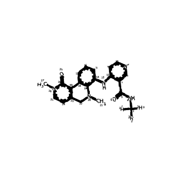 [2H]C([2H])([2H])NC(=O)c1cnccc1Nc1cccc2c1N(C)Cc1ccn(C)c(=O)c1-2